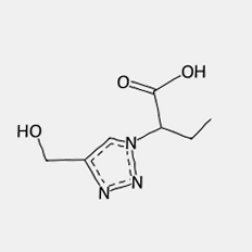 CCC(C(=O)O)n1cc(CO)nn1